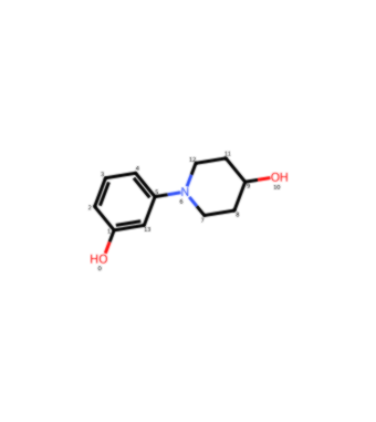 Oc1cccc(N2CCC(O)CC2)c1